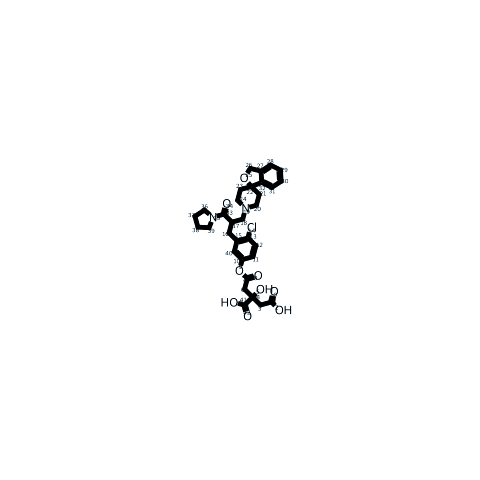 O=C(O)CC(O)(CC(=O)Oc1ccc(Cl)c(CC(CN2CCC3(CC2)OCc2ccccc23)C(=O)N2CCCC2)c1)C(=O)O